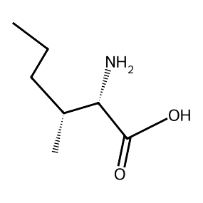 CCC[C@@H](C)[C@H](N)C(=O)O